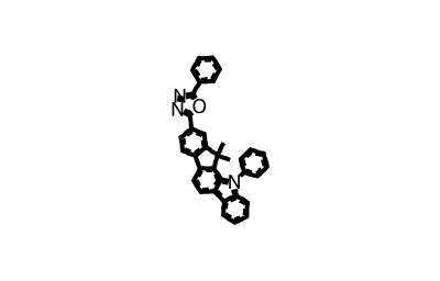 CC1(C)c2cc(-c3nnc(-c4ccccc4)o3)ccc2-c2ccc3c4ccccc4n(-c4ccccc4)c3c21